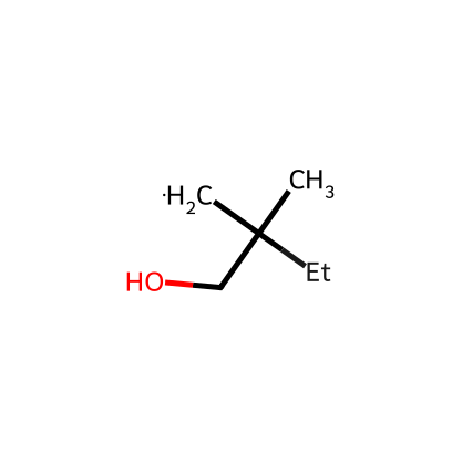 [CH2]C(C)(CC)CO